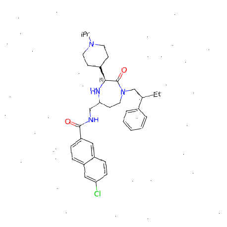 CCC(CN1CCC(CNC(=O)c2ccc3cc(Cl)ccc3c2)N[C@@H](C2CCN(C(C)C)CC2)C1=O)c1ccccc1